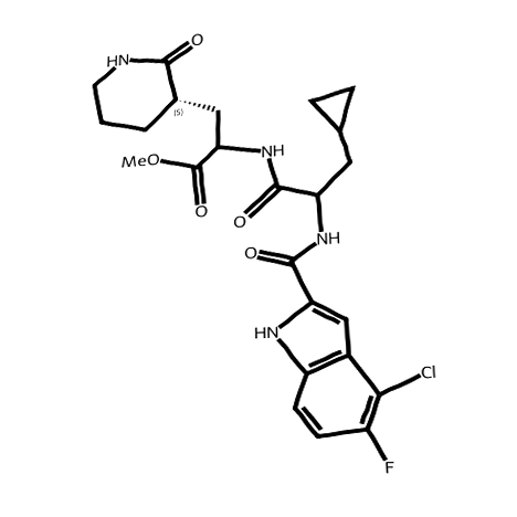 COC(=O)C(C[C@@H]1CCCNC1=O)NC(=O)C(CC1CC1)NC(=O)c1cc2c(Cl)c(F)ccc2[nH]1